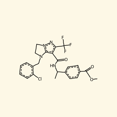 COC(=O)c1ccc(C(C)NC(=O)c2c(C(F)(F)F)nn3c2N(Cc2ccccc2Cl)CC3)cc1